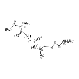 CCC(C)NC(C(=O)NCC(=O)N[C@@H](CCCCNC(C)=O)C(C)=O)[C@@H](C)CC